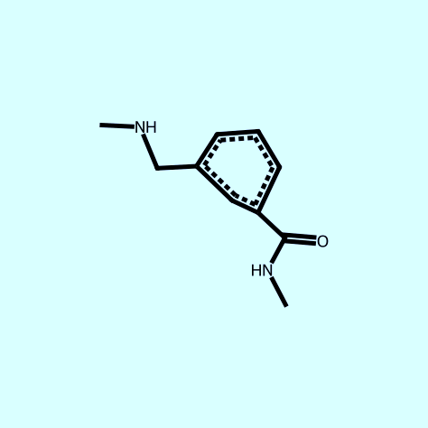 CNCc1cccc(C(=O)NC)c1